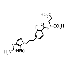 Nc1nc2ccn(CCCc3ccc(C(=O)NC(CCC(=O)O)C(=O)O)c(F)c3)c2c(=O)[nH]1